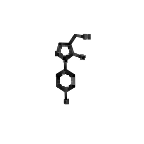 OCc1cnn(-c2ccc(Cl)cc2)c1Br